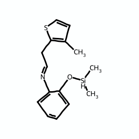 Cc1ccsc1CC=Nc1ccccc1O[SiH](C)C